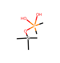 C[Si](C)(C)OP(C)(C)(O)O